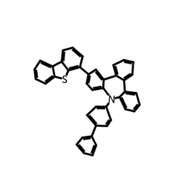 c1ccc(-c2ccc(N3c4ccccc4-c4ccccc4-c4cc(-c5cccc6c5sc5ccccc56)ccc43)cc2)cc1